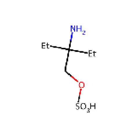 CCC(N)(CC)COS(=O)(=O)O